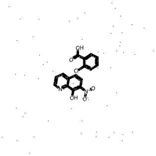 O=C(O)c1ccccc1Cl.O=[N+]([O-])c1ccc2cccnc2c1O